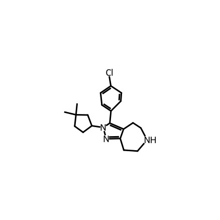 CC1(C)CCC(n2nc3c(c2-c2ccc(Cl)cc2)CCNCC3)C1